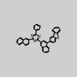 c1ccc(-c2nc(-c3ccc4ccccc4c3)nc(-c3cc(-c4ccc5sc6ccccc6c5c4)c4ccccc4c3)n2)cc1